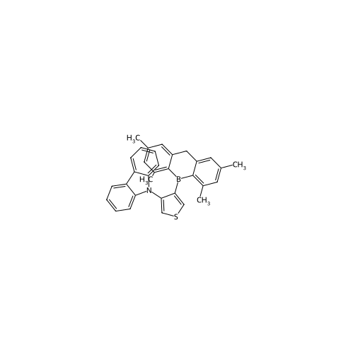 Cc1cc(C)c2c(c1)Cc1cc(C)cc(C)c1B2c1cscc1-n1c2ccccc2c2ccccc21